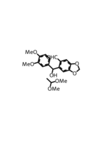 COC(C)OC.COc1ccc(C(O)c2cc3c(cc2C=O)OCO3)cc1OC